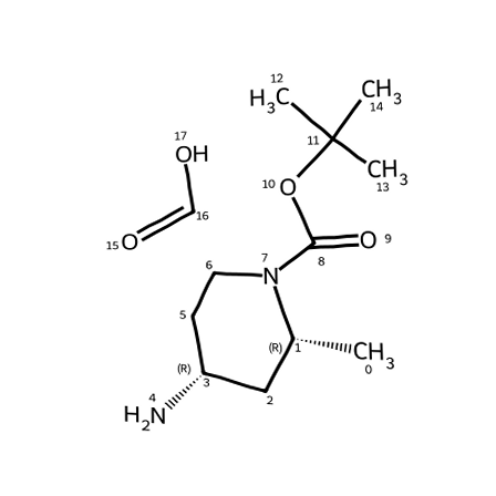 C[C@@H]1C[C@H](N)CCN1C(=O)OC(C)(C)C.O=CO